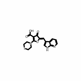 O=C(O)C1=C(N2CCSCC2)OC(=Cc2c[nH]c3ncccc23)C1=O